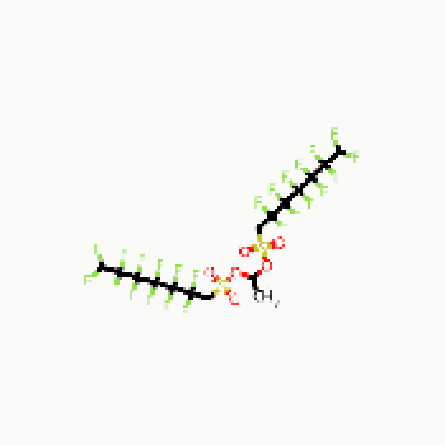 CC(OS(=O)(=O)CC(F)(F)C(F)(F)C(F)(F)C(F)(F)C(F)(F)C(F)F)OS(=O)(=O)CC(F)(F)C(F)(F)C(F)(F)C(F)(F)C(F)(F)C(F)F